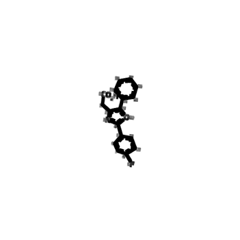 O=C(O)Cc1nc(-c2ccc(F)cc2)oc1-c1ccccc1